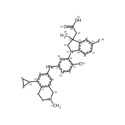 CN1CCc2c(cc(Nc3ncc(Cl)c(N4CC(C)(CC(=O)O)c5cc(F)ccc54)n3)cc2C2CC2)C1